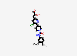 COc1cc(NC(=O)N2CC=C(c3ncc(C[C@@H](O)CO)cc3Cl)CC2)ccc1C(F)(F)F